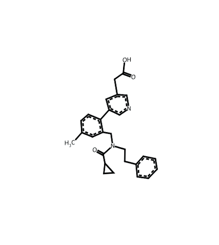 Cc1ccc(-c2cncc(CC(=O)O)c2)c(CN(CCc2ccccc2)C(=O)C2CC2)c1